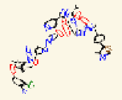 Cc1ncsc1-c1ccc([C@H](C)NC(=O)[C@@H]2C[C@@H](O)CN2C(=O)[C@H](C(C)C)n2cc(-c3ccnc(OC4CN(c5ccc(C(=O)N[C@H]6C(C)(C)[C@H](Oc7ccc(C#N)c(Cl)c7)C6(C)C)cn5)C4)c3)cn2)cc1